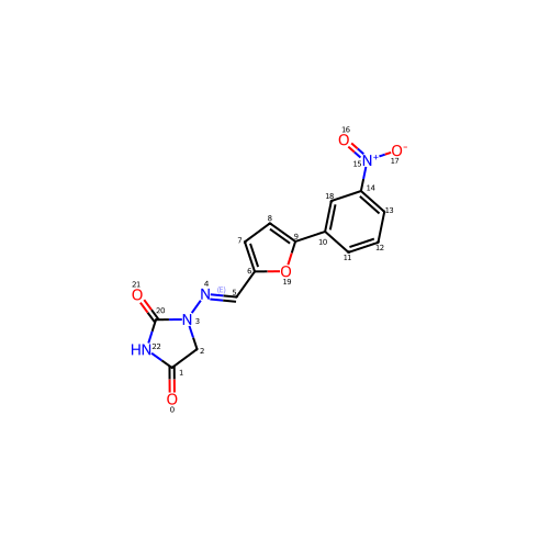 O=C1CN(/N=C/c2ccc(-c3cccc([N+](=O)[O-])c3)o2)C(=O)N1